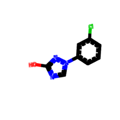 Oc1ncn(-c2cccc(Cl)c2)n1